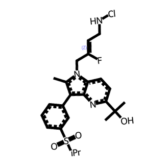 Cc1c(-c2cccc(S(=O)(=O)C(C)C)c2)c2nc(C(C)(C)O)ccc2n1C/C(F)=C/CNCl